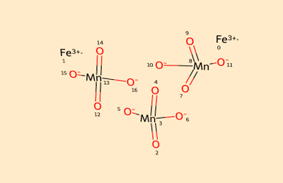 [Fe+3].[Fe+3].[O]=[Mn](=[O])([O-])[O-].[O]=[Mn](=[O])([O-])[O-].[O]=[Mn](=[O])([O-])[O-]